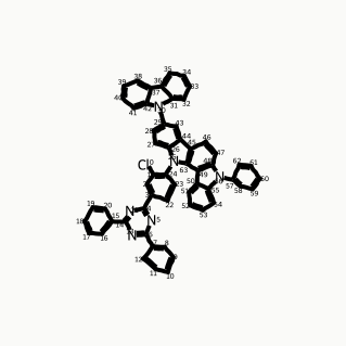 Clc1cc(-c2nc(-c3ccccc3)nc(-c3ccccc3)n2)ccc1-n1c2ccc(-n3c4ccccc4c4ccccc43)cc2c2ccc3c(c4ccccc4n3-c3ccccc3)c21